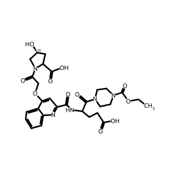 CCOC(=O)N1CCN(C(=O)C(CCC(=O)O)NC(=O)c2cc(OCC(=O)N3C[C@@H](O)CC3C(=O)O)c3ccccc3n2)CC1